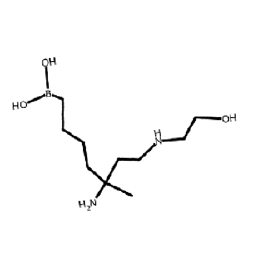 CC(N)(CCCCB(O)O)CCNCCO